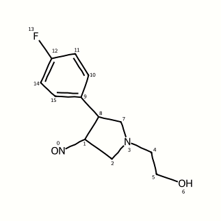 O=NC1CN(CCO)CC1c1ccc(F)cc1